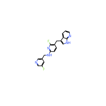 Fc1cncc(CNc2ccc(Cc3c[nH]c4ncccc34)c(F)n2)c1